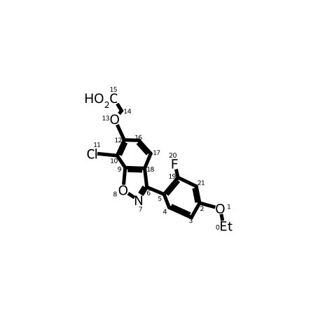 CCOc1ccc(-c2noc3c(Cl)c(OCC(=O)O)ccc23)c(F)c1